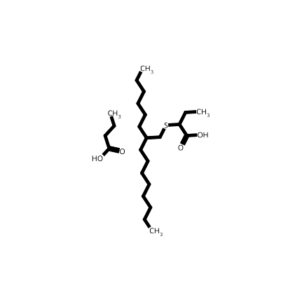 CCCC(=O)O.CCCCCCCCC(CCCCCC)CSC(CC)C(=O)O